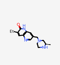 CCc1cc2ncc(CN3CCN[C@H](C)C3)cc2[nH]c1=O